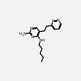 CCCCCNc1nc(N)ncc1CCc1cccnn1